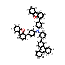 c1cc(-c2ccc3c4ccccc4c4ccccc4c3c2)cc(N(c2ccc(-c3cccc4c3oc3ccccc34)cc2)c2ccc(-c3cccc4c3oc3ccccc34)cc2)c1